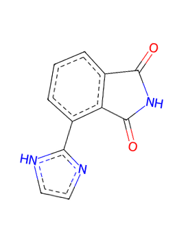 O=C1NC(=O)c2c1cccc2-c1ncc[nH]1